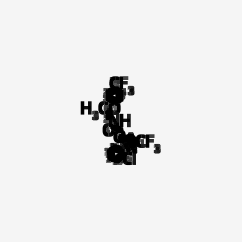 CC(CNC(=O)COc1cc(C(F)(F)F)nn1-c1ccccc1Cl)Oc1ccc(C(F)(F)F)cc1